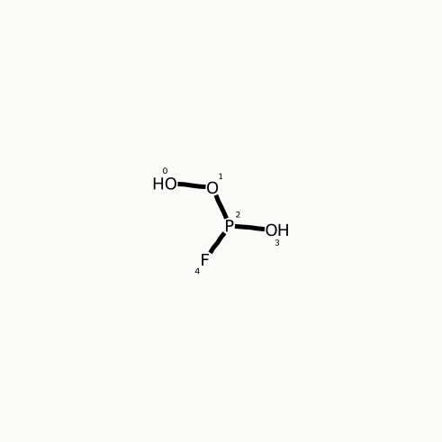 OOP(O)F